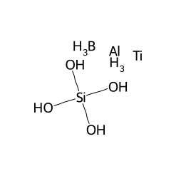 B.O[Si](O)(O)O.[AlH3].[Ti]